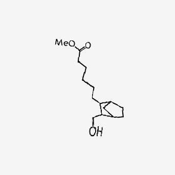 COC(=O)CCCCCC1C2CCC(C2)C1CO